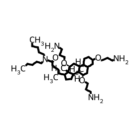 CCCCCN(CCCCC)C(=O)CC[C@@H](C)C1CC[C@H]2C3[C@H](OCCCN)CC4CC(OCCCN)CCC4(C)[C@H]3C[C@H](OCCCN)C12C